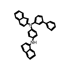 c1ccc(-c2cccc(N(c3ccc(Nc4cccc5ccccc45)cc3)c3ccc4ccccc4c3)c2)cc1